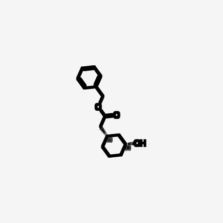 O=C(C[C@H]1CCC[C@@H](O)C1)OCc1ccccc1